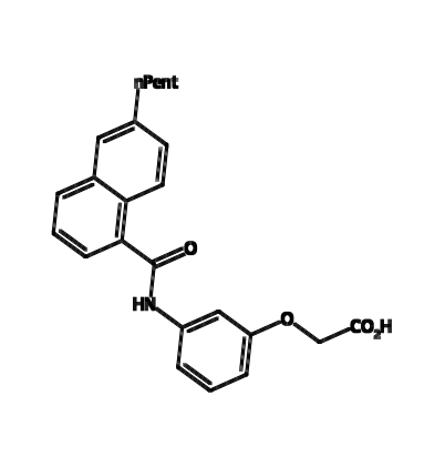 CCCCCc1ccc2c(C(=O)Nc3cccc(OCC(=O)O)c3)cccc2c1